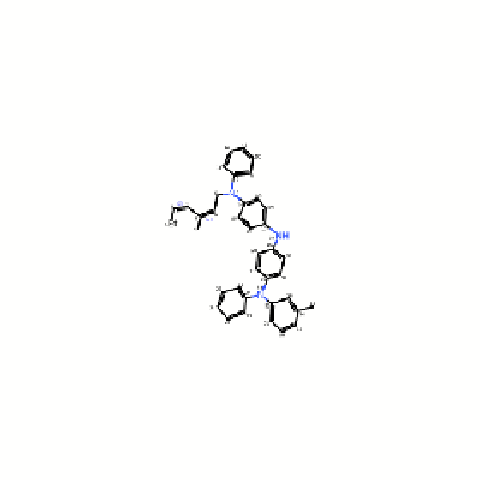 CC/C=C\C(C)=C/CN(c1ccccc1)c1ccc(Nc2ccc(N(c3ccccc3)c3cccc(C)c3)cc2)cc1